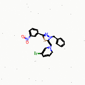 O=[N+]([O-])c1cccc(C2=NN(Cc3ccccc3)C(=CN3C=C(Br)C=CC3)S2)c1